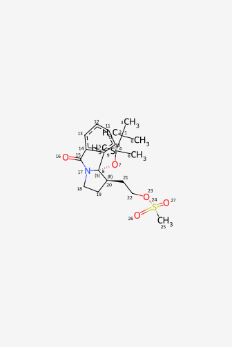 CC(C)(C)[Si](C)(C)O[C@@]12c3ccccc3C(=O)N1CC[C@@H]2CCOS(C)(=O)=O